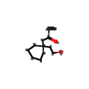 COC(=O)CC1(CCBr)CCCCC1